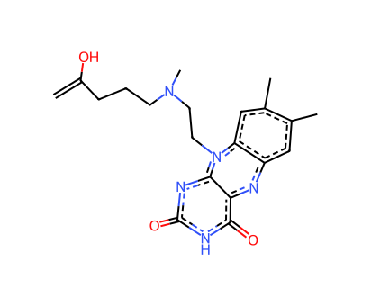 C=C(O)CCCN(C)CCn1c2nc(=O)[nH]c(=O)c-2nc2cc(C)c(C)cc21